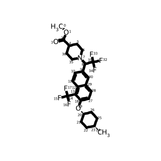 COC(=O)C1CCN(C(c2ccc3c(C(F)(F)F)c(O[C@H]4CC[C@@H](C)CC4)ccc3c2)C(F)(F)F)CC1